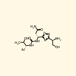 CC(=O)[C@@H](NC(=O)N[C@H](CC(N)=O)c1nc([C@@H](N)CO)no1)C(C)O